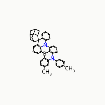 Cc1ccc(N2c3cc(C)ccc3B3c4cccc5c4N(c4ccccc4C54C5CC6CC(C5)CC4C6)c4cccc2c43)cc1